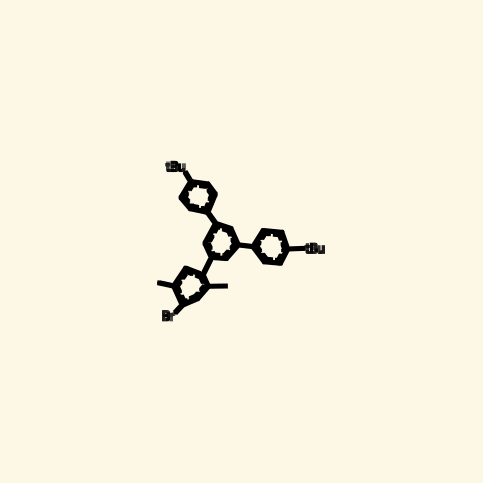 Cc1cc(-c2cc(-c3ccc(C(C)(C)C)cc3)cc(-c3ccc(C(C)(C)C)cc3)c2)c(C)cc1Br